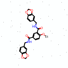 CCOc1ccc(C(=O)NCc2ccc3c(c2)OCO3)cc1C(=O)NCc1ccc2c(c1)OCO2